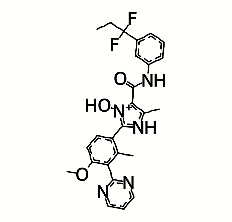 CCC(F)(F)c1cccc(NC(=O)c2c(C)[nH]c(-c3ccc(OC)c(-c4ncccn4)c3C)[n+]2O)c1